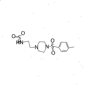 Cc1ccc(S(=O)(=O)N2CCN(CCN[SH](=O)=O)CC2)cc1